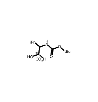 CC(C)C(NC(=O)OC(C)(C)C)[C@H](O)C(=O)O